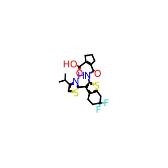 CC(C)c1csc(-c2c(NC(=O)C3=C(C(=O)O)CCC3)sc3c2CCC(F)(F)C3)n1